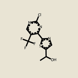 CC(O)c1cnc(-c2nc(Cl)ncc2C(F)(F)F)s1